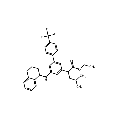 CCOC(=O)C(CC(C)C)c1cc(NC2CCCc3ccccc32)cc(-c2ccc(C(F)(F)F)cc2)c1